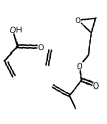 C=C.C=C(C)C(=O)OCC1CO1.C=CC(=O)O